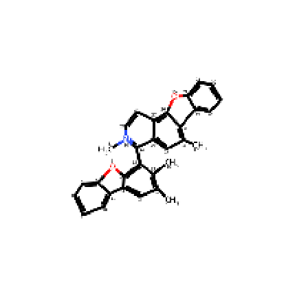 Cc1cc2c(oc3ccccc32)c(-c2c3cc(C)c4c5ccccc5oc4c3cc[n+]2C)c1C